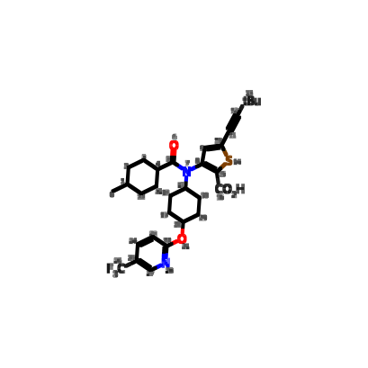 CC1CCC(C(=O)N(c2cc(C#CC(C)(C)C)sc2C(=O)O)C2CCC(Oc3ccc(C(F)(F)F)cn3)CC2)CC1